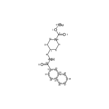 CC(C)(C)OC(=O)N1CCC(CNC(=O)c2ccc3ccccc3c2)CC1